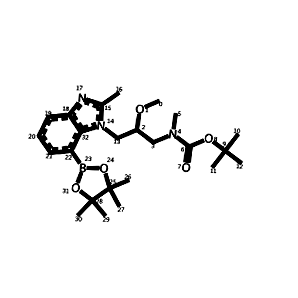 COC(CN(C)C(=O)OC(C)(C)C)Cn1c(C)nc2cccc(B3OC(C)(C)C(C)(C)O3)c21